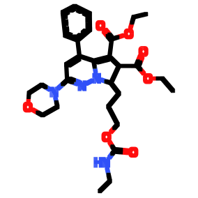 CCNC(=O)OCCCC1C(C(=O)OCC)C(C(=O)OCC)=C2C(c3ccccc3)=CC(N3CCOCC3)=NN21